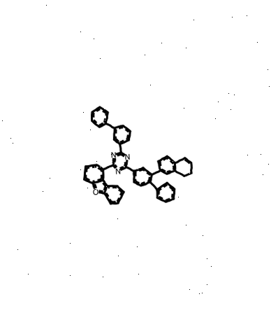 C1=Cc2ccc(-c3cc(-c4nc(-c5cccc(-c6ccccc6)c5)nc(-c5cccc6oc7ccccc7c56)n4)ccc3-c3ccccc3)cc2CC1